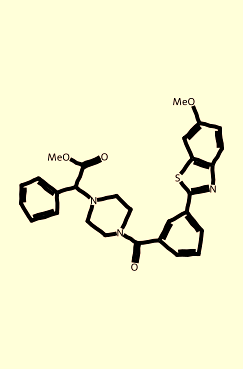 COC(=O)C(c1ccccc1)N1CCN(C(=O)c2cccc(-c3nc4ccc(OC)cc4s3)c2)CC1